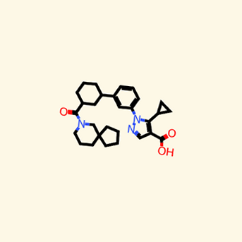 O=C(O)c1cnn(-c2cccc(C3CCCC(C(=O)N4CCCC5(CCCC5)C4)C3)c2)c1C1CC1